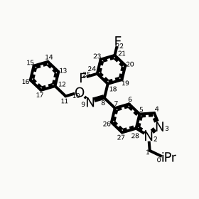 CC(C)Cn1ncc2cc(C(=NOCc3ccccc3)c3ccc(F)cc3F)ccc21